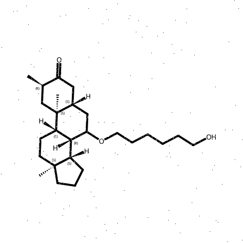 C[C@@H]1C[C@@]2(C)[C@H](CC1=O)CC(OCCCCCCO)[C@@H]1[C@@H]3CCC[C@@]3(C)CC[C@@H]12